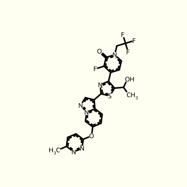 Cc1ccc(Oc2ccc3c(-c4nc(-c5ccn(CC(F)(F)F)c(=O)c5F)c(C(C)O)s4)cnn3c2)nn1